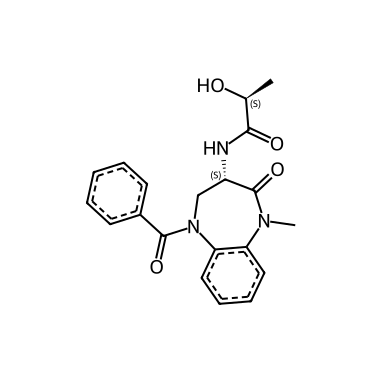 C[C@H](O)C(=O)N[C@H]1CN(C(=O)c2ccccc2)c2ccccc2N(C)C1=O